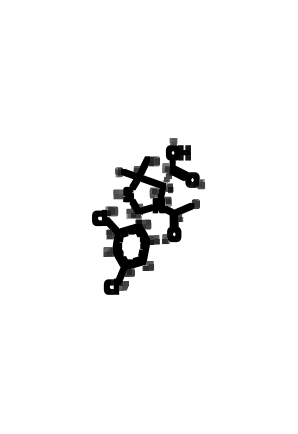 CC(=O)N1[C@@H](C(=O)O)C(C)(C)S[C@H]1c1ccc(Cl)cc1Cl